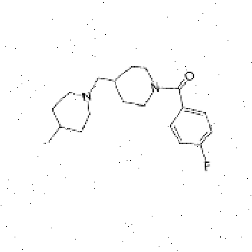 [CH2]C1CCN(CC2CCN(C(=O)c3ccc(F)cc3)CC2)CC1